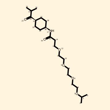 CC(C)OCCOCCOCCOCCC(=O)N[C@H]1CC[C@@H](C(=O)C(C)C)CC1